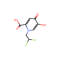 O=C(O)c1cc(=O)c(O)cn1CC(F)F